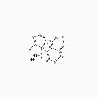 Cc1ccccc1C.N.[H].c1ccc2ccccc2c1